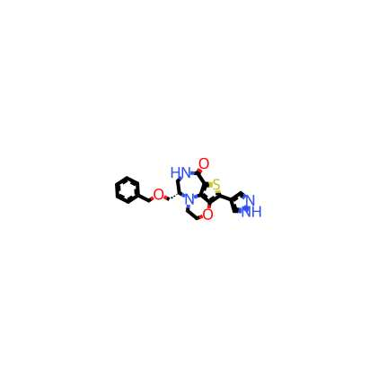 O=C1NC[C@@H](COCc2ccccc2)N2CCOc3c(-c4cn[nH]c4)sc1c32